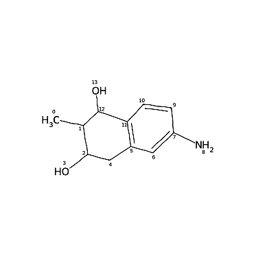 CC1C(O)Cc2cc(N)ccc2C1O